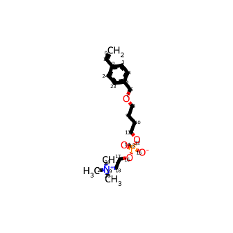 C=Cc1ccc(COCCCCOP(=O)([O-])OCC[N+](C)(C)C)cc1